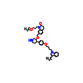 COCCCN1C(=O)CCc2ccc(COC3CNCCC3c3ccc(OCCCCn4cc(C)c5ccccc54)cc3)cc21